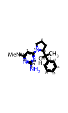 CNc1cc(N2CCCC2C(C)(C)c2ccccc2)nc(N)n1